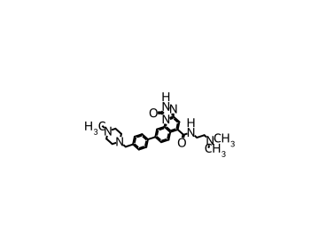 CN(C)CCNC(=O)c1cc2n[nH]c(=O)n2c2cc(-c3ccc(CN4CCN(C)CC4)cc3)ccc12